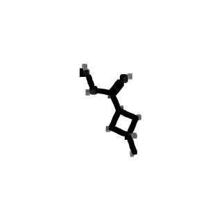 CCOC(=O)C1CN(C)C1